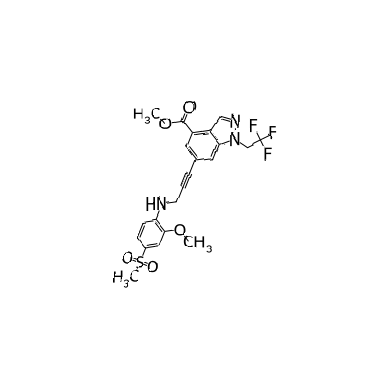 COC(=O)c1cc(C#CCNc2ccc(S(C)(=O)=O)cc2OC)cc2c1cnn2CC(F)(F)F